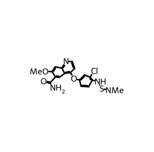 CNSNc1ccc(Oc2ccnc3cc(OC)c(C(N)=O)cc23)cc1Cl